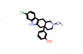 CN1CCC2(c3cccc(O)c3)Cc3[nH]c4cc(Cl)ccc4c3CC2C1